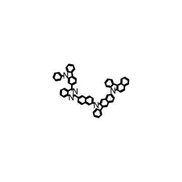 c1ccc(-n2c3ccccc3c3ccc(-c4nc(-c5ccc6cc(-n7c8ccccc8c8cc9ccc(-n%10c%11ccccc%11c%11c%12ccccc%12ccc%11%10)cc9cc87)ccc6c5)nc5ccccc45)cc32)cc1